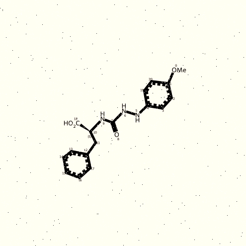 COc1ccc(NNC(=O)N[C@@H](Cc2ccccc2)C(=O)O)cc1